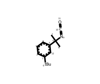 CC(C)(C)c1cccc(C(C)(C)N=C=O)c1